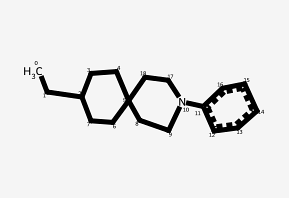 CCC1CCC2(CC1)CCN(c1ccccc1)CC2